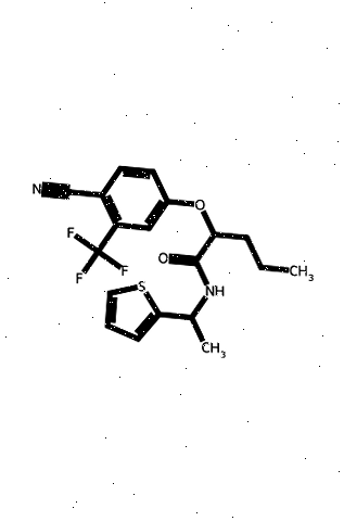 CCCC(Oc1ccc(C#N)c(C(F)(F)F)c1)C(=O)NC(C)c1cccs1